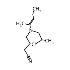 CC/C=C(\C)N(CCCC#N)CC(C)Cl